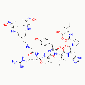 CCC(C)[C@H](NC(=O)[C@@H]1CCCN1C(=O)[C@H](Cc1cnc[nH]1)NC(=O)[C@@H](NC(=O)[C@H](Cc1ccc(O)cc1)NC(=O)[C@@H](NC(=O)[C@H](CCCNC(=N)N)NC(=O)CNCCC(CCNC(C)(C)/C(C)=N\O)CCNC(C)(C)/C(C)=N\O)C(C)C)C(C)CC)C(=O)O